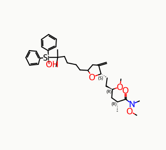 C=C1CC(CCCCC(C)(C)[Si](O)(c2ccccc2)c2ccccc2)O[C@H]1CC[C@H](C[C@@H](C)C(=O)N(C)OC)OC